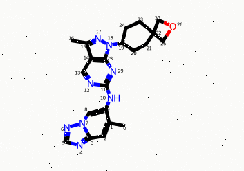 Cc1cc2ncnn2cc1Nc1ncc2c(C)nn(C3CCC4(CC3)COC4)c2n1